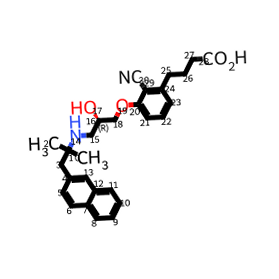 CC(C)(Cc1ccc2ccccc2c1)NC[C@@H](O)COc1cccc(CCCC(=O)O)c1C#N